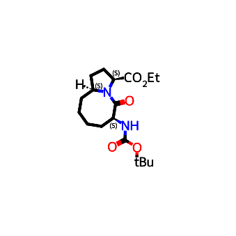 CCOC(=O)[C@@H]1CC[C@@H]2CCCC[C@H](NC(=O)OC(C)(C)C)C(=O)N21